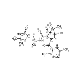 CO[C@H](C)[C@H](NC(=O)C(F)(F)F)C(=O)N1C[C@H]2[C@@H]([C@H]1C(=O)N[C@H](C#N)C[C@@H]1CC(C)(C)NC1=O)C2(C)C